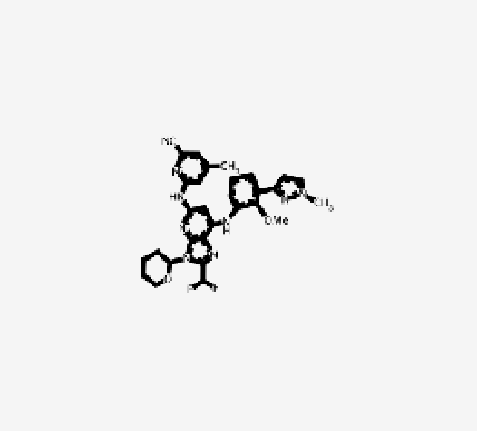 COc1c(Nc2cc(Nc3cc(C)cc(C#N)n3)nc3c2nc(C(F)F)n3C2CCCCO2)cccc1-c1ccn(C)n1